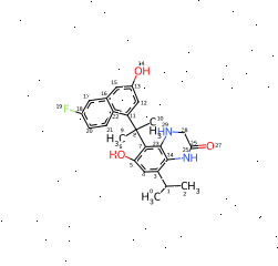 CC(C)c1cc(O)c(C(C)(C)c2cc(O)cc3cc(F)ccc23)c2c1NC(=O)CN2